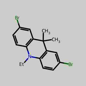 CCN1c2ccc(Br)cc2C(C)(C)c2cc(Br)ccc21